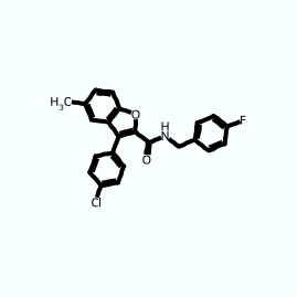 Cc1ccc2oc(C(=O)NCc3ccc(F)cc3)c(-c3ccc(Cl)cc3)c2c1